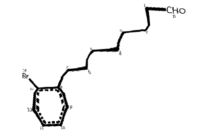 O=CCCCCCCCc1ccccc1Br